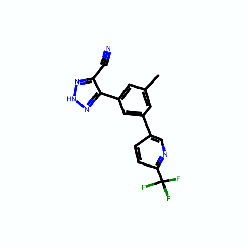 Cc1cc(-c2ccc(C(F)(F)F)nc2)cc(-c2n[nH]nc2C#N)c1